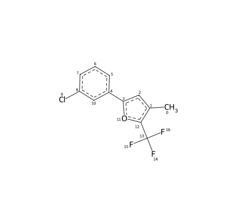 Cc1cc(-c2cccc(Cl)c2)oc1C(F)(F)F